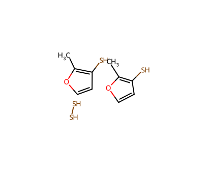 Cc1occc1S.Cc1occc1S.SS